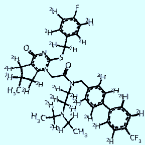 [2H]c1c([2H])c(C([2H])([2H])Sc2nc(=O)c3c(n2CC(=O)N(Cc2c([2H])c([2H])c(-c4c([2H])c([2H])c(C(F)(F)F)c([2H])c4[2H])c([2H])c2[2H])C([2H])([2H])C([2H])([2H])N(C([2H])([2H])C)C([2H])([2H])C)C([2H])([2H])C([2H])(C)C3([2H])[2H])c([2H])c([2H])c1F